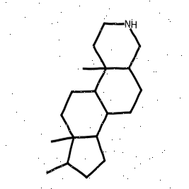 CC1CCC2C3CCC4CNCCC4(C)C3CCC12C